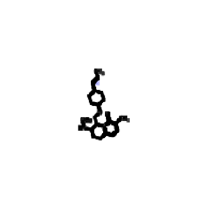 C/C=C/C1CCC(OCC2C(NSC)CCc3ccc(C)c(=O)n32)CC1